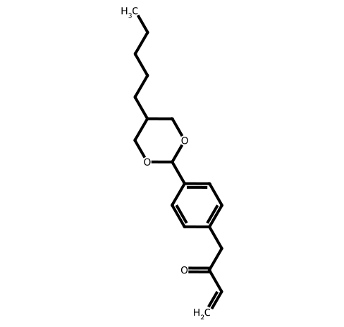 C=CC(=O)Cc1ccc(C2OCC(CCCCC)CO2)cc1